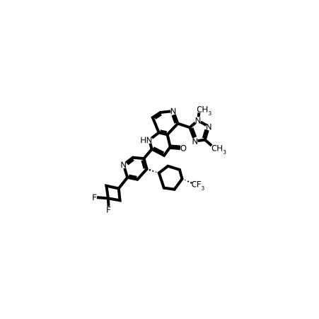 Cc1nc(-c2nccc3[nH]c(-c4cnc(C5CC(F)(F)C5)cc4[C@H]4CC[C@@H](C(F)(F)F)CC4)cc(=O)c23)n(C)n1